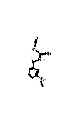 CNc1cccc(C(=O)NC(=N)NC#N)c1